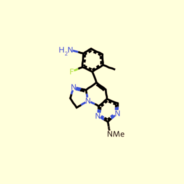 CNc1ncc2c(n1)N1CCN=C1C(c1c(C)ccc(N)c1F)=C2